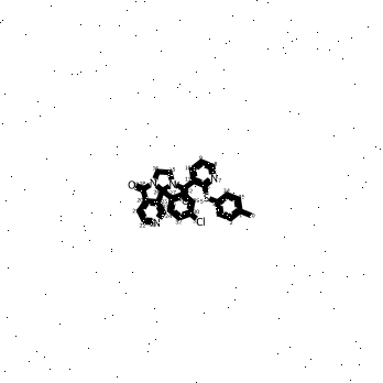 Cc1ccc(Sc2ncccc2C(=O)N2CCN3C(=O)c4ccncc4C32c2ccc(Cl)cc2)cc1